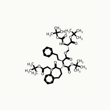 CC(C)(C)OC(=O)CN1C(=O)[C@H](N(C(=O)OC(C)(C)C)[C@@H](CCc2ccccc2)C(=O)OC[C@H](NC(=O)OC(C)(C)C)C(=O)OC(C)(C)C)CCc2ccccc21